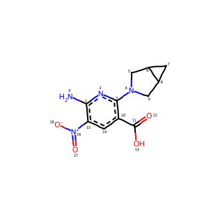 Nc1nc(N2CC3CC3C2)c(C(=O)O)cc1[N+](=O)[O-]